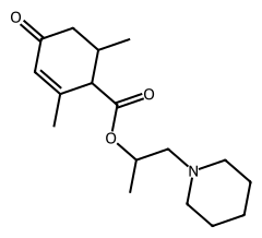 CC1=CC(=O)CC(C)C1C(=O)OC(C)CN1CCCCC1